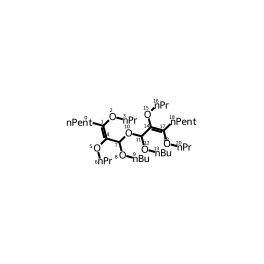 CCCCCC(OCCC)=C(OCCC)C(OCCCC)OC(OCCCC)C(OCCC)=C(CCCCC)OCCC